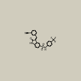 N#Cc1cccc(C=C2C(=O)Nc3ccc(S(=O)(=O)Nc4ccc(C(F)(F)F)cc4)cc32)c1